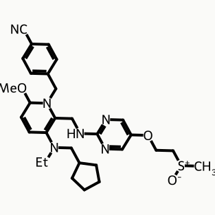 CCN(CC1CCCC1)C1=C(CNc2ncc(OCC[S+](C)[O-])cn2)N(Cc2ccc(C#N)cc2)C(OC)C=C1